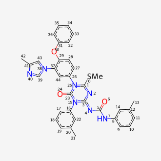 CSc1n/c(=N\C(=O)Nc2cccc(C)c2)n(-c2cccc(C)c2)c(=O)n1-c1ccc(Oc2ccccc2)c(-n2cnc(C)c2)c1